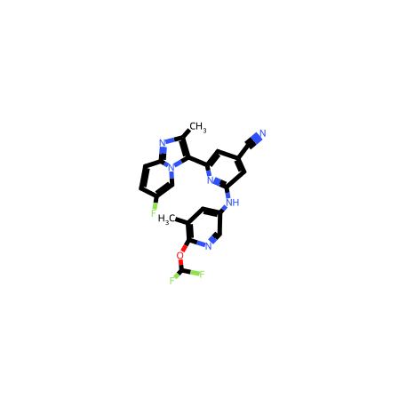 Cc1cc(Nc2cc(C#N)cc(-c3c(C)nc4ccc(F)cn34)n2)cnc1OC(F)F